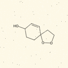 OC1C=CC2(CCOO2)CC1